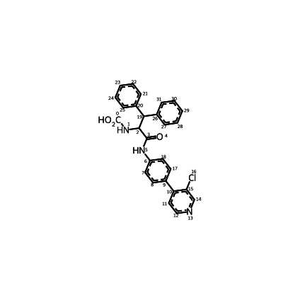 O=C(O)NC(C(=O)Nc1ccc(-c2ccncc2Cl)cc1)C(c1ccccc1)c1ccccc1